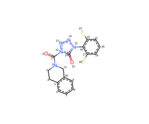 O=C(N1CCc2ccccc2C1)n1nnn(-c2c(F)cccc2F)c1=O